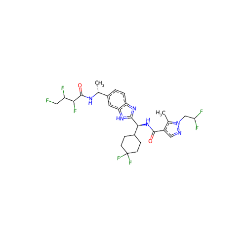 Cc1c(C(=O)N[C@H](c2nc3ccc([C@@H](C)NC(=O)C(F)C(F)CF)cc3[nH]2)C2CCC(F)(F)CC2)cnn1CC(F)F